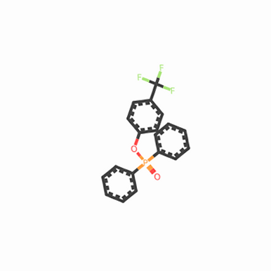 O=P(Oc1ccc(C(F)(F)F)cc1)(c1ccccc1)c1ccccc1